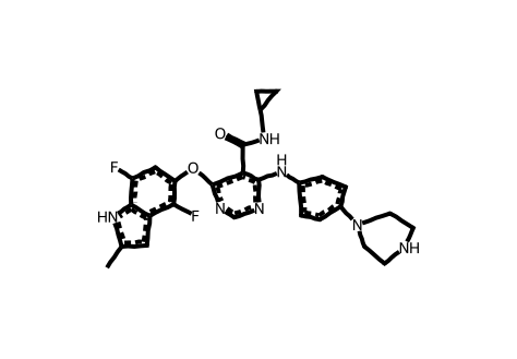 Cc1cc2c(F)c(Oc3ncnc(Nc4ccc(N5CCNCC5)cc4)c3C(=O)NC3CC3)cc(F)c2[nH]1